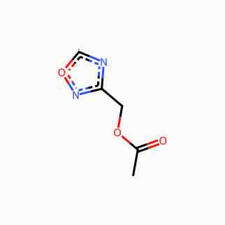 CC(=O)OCc1n[c]on1